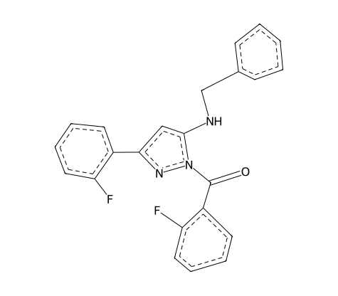 O=C(c1ccccc1F)n1nc(-c2ccccc2F)cc1NCc1ccccc1